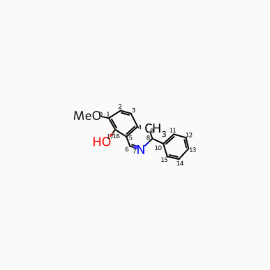 COc1cccc(/C=N\C(C)c2ccccc2)c1O